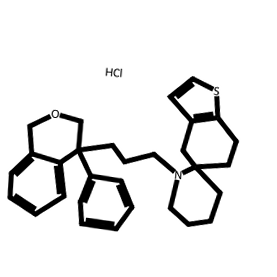 Cl.c1ccc(C2(CCCN3CCCCC34CCc3sccc3C4)COCc3ccccc32)cc1